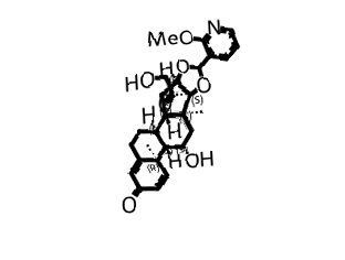 COc1ncccc1C1O[C@@H]2C[C@H]3[C@@H]4CCC5=CC(=O)C=C[C@]5(C)[C@H]4[C@@H](O)C[C@]3(C)[C@]2(C(=O)CO)O1